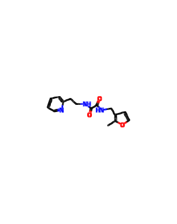 Cc1occc1CNC(=O)C(=O)NCCc1ccccn1